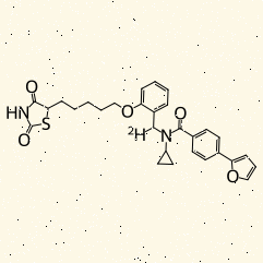 [2H]C(c1ccccc1OCCCCCC1SC(=O)NC1=O)N(C(=O)c1ccc(-c2ccco2)cc1)C1CC1